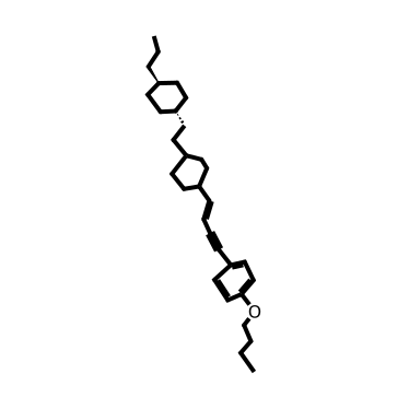 CCCCOc1ccc(C#C/C=C/C2CCC(CC[C@H]3CC[C@H](CCC)CC3)CC2)cc1